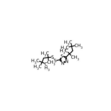 CC(C)(C)CC(C)(C)SSc1nnc(C(C)(C)CC(C)(C)C)s1